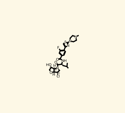 CC(C)C[C@H](NC(=O)c1ccc(-c2csc(N3CCN(C)CC3)n2)c(F)c1)C(=O)N1C[C@@H](Cl)[C@H]2OC[C@H](O)[C@H]21